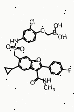 CNC(=O)c1c(-c2ccc(F)cc2)oc2cc(CS(=O)(=O)Nc3ccc(OCB(O)O)c(Cl)c3)c(C3CC3)cc12